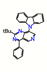 CC(C)(C)c1nc(-c2ccccc2)c2cncc(-n3c4ccccc4c4ccccc43)c2n1